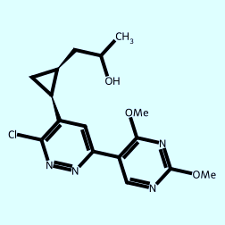 COc1ncc(-c2cc([C@H]3C[C@H]3CC(C)O)c(Cl)nn2)c(OC)n1